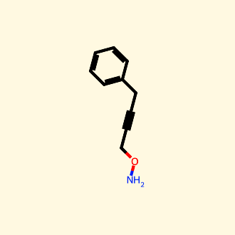 NOCC#CCc1ccccc1